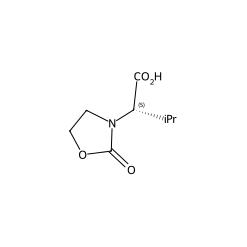 CC(C)[C@@H](C(=O)O)N1CCOC1=O